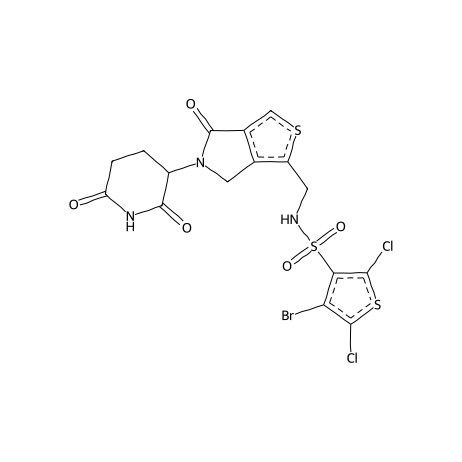 O=C1CCC(N2Cc3c(csc3CNS(=O)(=O)c3c(Cl)sc(Cl)c3Br)C2=O)C(=O)N1